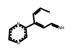 N=C/C=C(\C=C/I)c1cnccn1